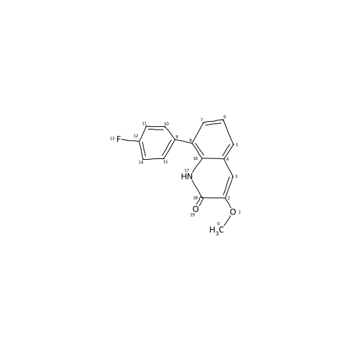 COc1cc2cccc(-c3ccc(F)cc3)c2[nH]c1=O